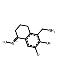 NCc1c(O)c(Br)cc2c1CCC/C2=N\O